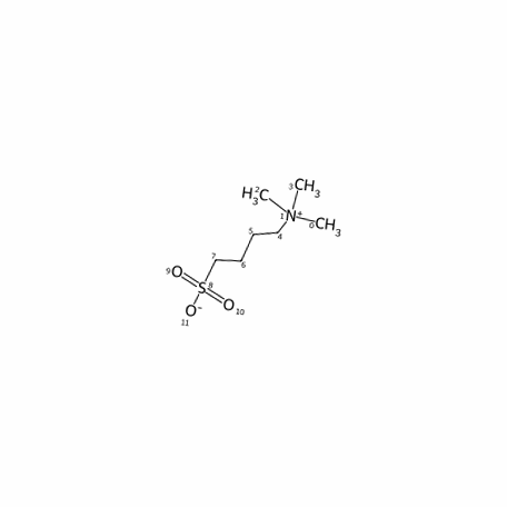 C[N+](C)(C)CCCCS(=O)(=O)[O-]